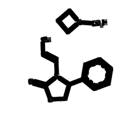 CC(C)(C)C=CN1C(=O)OCC1c1ccccc1.O=C(O)N1CCC1